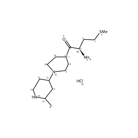 CSCC[C@@H](N)C(=O)N1CCN(C2CCNC(C)C2)CC1.Cl